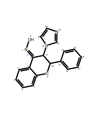 O/N=C1/c2ccccc2OC(c2ccccc2)C1n1ccnc1